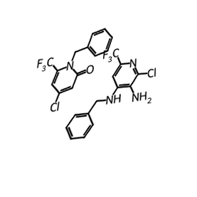 Nc1c(NCc2ccccc2)cc(C(F)(F)F)nc1Cl.O=c1cc(Cl)cc(C(F)(F)F)n1Cc1ccccc1